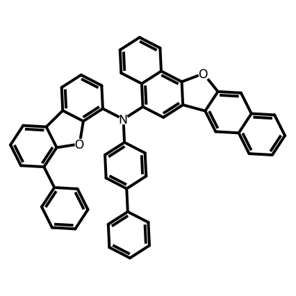 c1ccc(-c2ccc(N(c3cc4c5cc6ccccc6cc5oc4c4ccccc34)c3cccc4c3oc3c(-c5ccccc5)cccc34)cc2)cc1